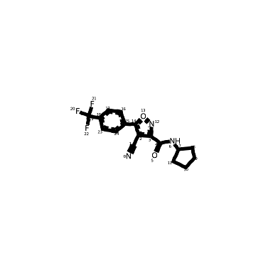 N#Cc1c(C(=O)NC2CCCC2)noc1-c1ccc(C(F)(F)F)cc1